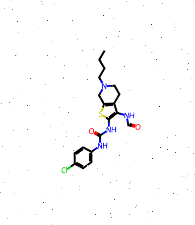 CCCCN1CCc2c(sc(NC(=O)Nc3ccc(Cl)cc3)c2NC=O)C1